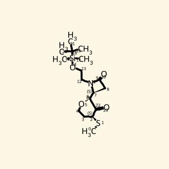 CS[C@H]1CCO[C@H]([C@@H]2CC(=O)N2CCO[Si](C)(C)C(C)(C)C)C1=O